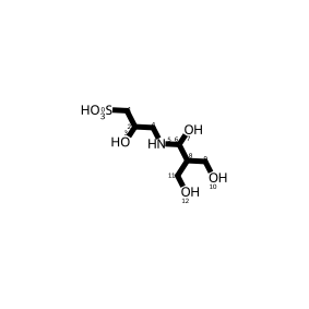 O=S(=O)(O)CC(O)CNC(O)C(CO)CO